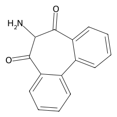 NC1C(=O)c2ccccc2-c2ccccc2C1=O